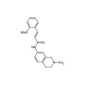 COc1ccccc1/C=C/C(=O)Nc1ccc2c(c1)CN(C)CC2